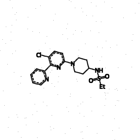 CCS(=O)(=O)NC1CCN(c2ccc(Cl)c(-c3ccccn3)n2)CC1